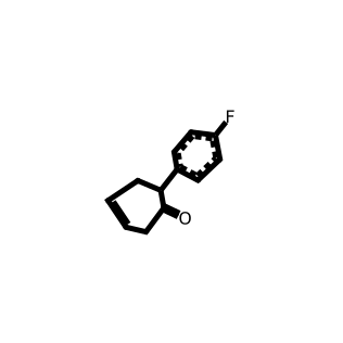 O=C1CC=CCC1c1ccc(F)cc1